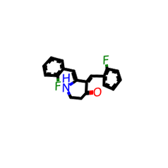 O=C1CCNC(=Cc2ccccc2F)C1=Cc1ccccc1F